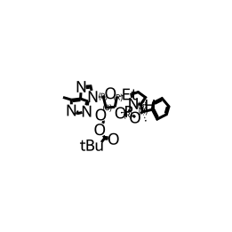 CC[C@H]1O[C@@H](n2cnc3c(C)ncnc32)[C@@H](OCOC(=O)C(C)(C)C)C1O[P@@]1O[C@](C)(c2ccccc2)[C@@H]2CCCN21